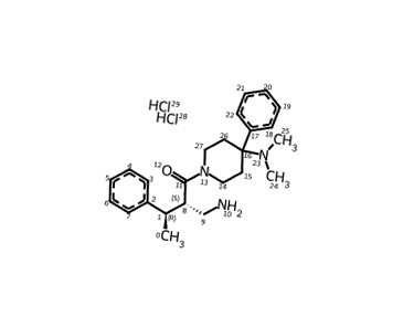 C[C@@H](c1ccccc1)[C@@H](CN)C(=O)N1CCC(c2ccccc2)(N(C)C)CC1.Cl.Cl